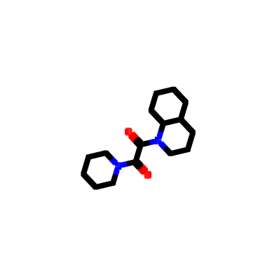 O=C(C(=O)N1CCCC2CCCCC21)N1CCCCC1